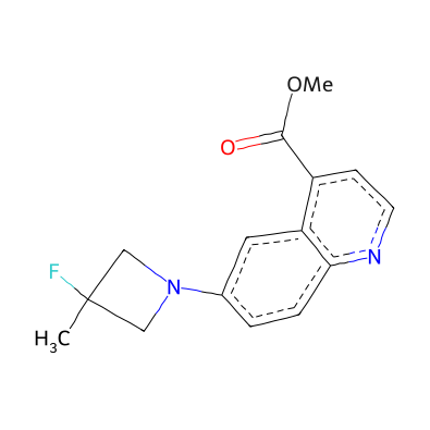 COC(=O)c1ccnc2ccc(N3CC(C)(F)C3)cc12